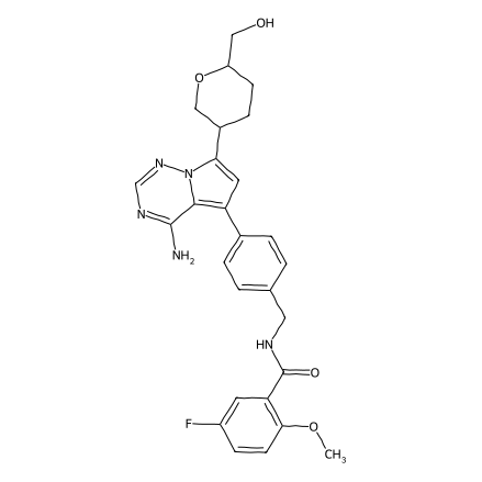 COc1ccc(F)cc1C(=O)NCc1ccc(-c2cc(C3CCC(CO)OC3)n3ncnc(N)c23)cc1